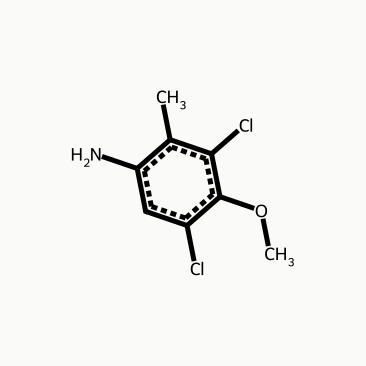 COc1c(Cl)cc(N)c(C)c1Cl